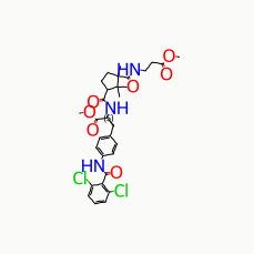 COC(=O)CCNC(=O)C1(C)CCC(C(=O)N[C@@H](Cc2ccc(NC(=O)c3c(Cl)cccc3Cl)cc2)C(=O)OC)C1(C)C